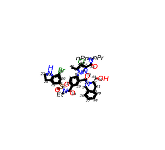 CCCN(CCC)C(=O)c1nn(-c2ccc(C(=O)N(CC)S(=O)(=O)c3cc(Br)c4c(c3)CCN4)cc2C(=O)N2Cc3ccccc3C[C@H]2CO)c(C)c1Cl